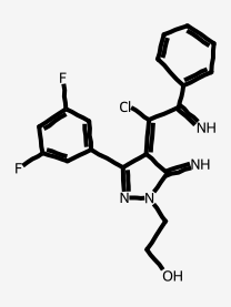 N=C(/C(Cl)=C1\C(=N)N(CCO)N=C1c1cc(F)cc(F)c1)c1ccccc1